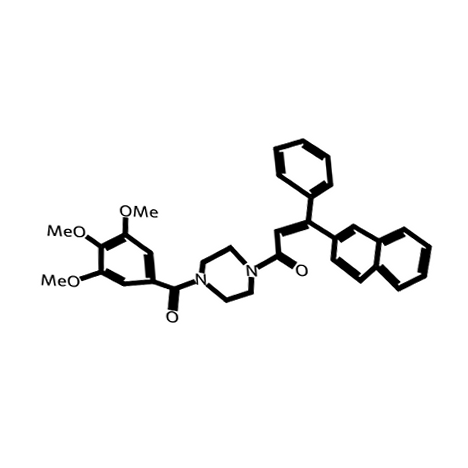 COc1cc(C(=O)N2CCN(C(=O)/C=C(/c3ccccc3)c3ccc4ccccc4c3)CC2)cc(OC)c1OC